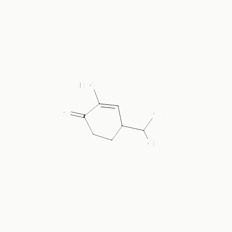 CC1=CC(C(C)C)CCC1=O